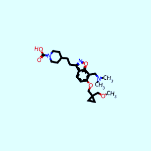 COCC1(COc2ccc3c(CCC4CCN(C(=O)O)CC4)noc3c2CN(C)C)CC1